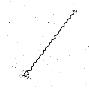 C[Si](C)(Cl)CCCCCCCCCCCCCCCCCCCCCCCCCCCCCCCS